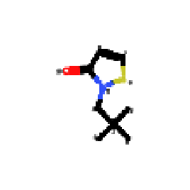 CC(C)(C)Cn1sccc1=O